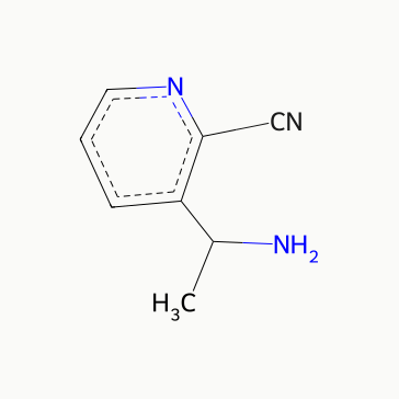 CC(N)c1cccnc1C#N